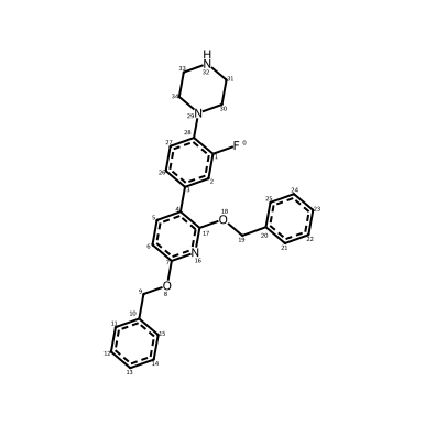 Fc1cc(-c2ccc(OCc3ccccc3)nc2OCc2ccccc2)ccc1N1CCNCC1